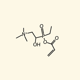 C=CC(=O)OP(=O)(CC)C(O)C[N+](C)(C)C